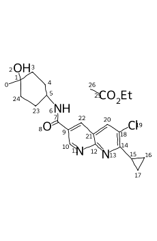 CC1(O)CCC(NC(=O)c2cnc3nc(C4CC4)c(Cl)cc3c2)CC1.CCOC(C)=O